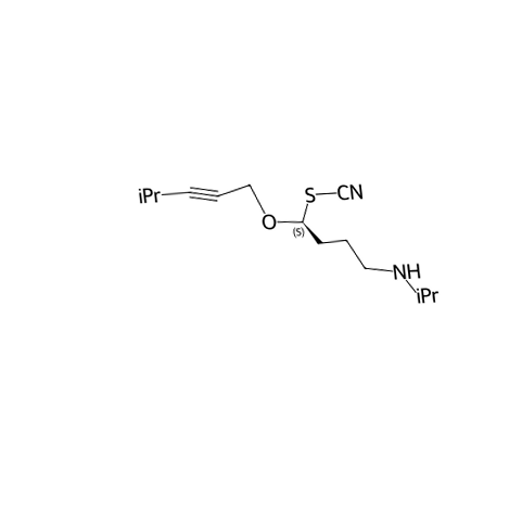 CC(C)C#CCO[C@H](CCCNC(C)C)SC#N